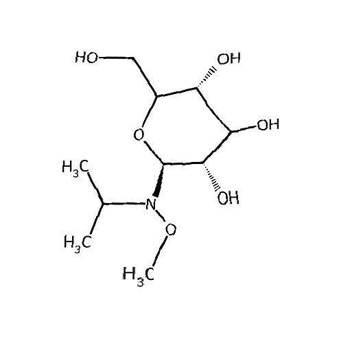 CON(C(C)C)[C@H]1OC(CO)[C@H](O)C(O)[C@@H]1O